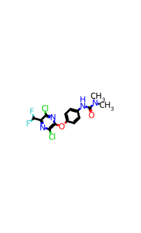 CN(C)C(=O)Nc1ccc(Oc2nc(Cl)c(C(F)F)nc2Cl)cc1